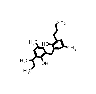 CCCCc1cc(C)cc(Cc2cc(C)cc(C(C)CC)c2O)c1O